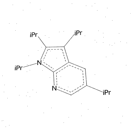 CC(C)c1cnc2c(c1)c(C(C)C)c(C(C)C)n2C(C)C